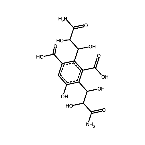 NC(=O)C(O)C(O)c1c(O)cc(C(=O)O)c(C(O)C(O)C(N)=O)c1C(=O)O